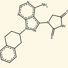 Nc1ncnc2c1c(N1CC(=O)NC1=S)nn2C1CCc2ccccc2C1